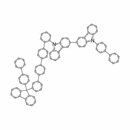 c1ccc(-c2ccc(-n3c4ccccc4c4cc(-c5ccc6c(c5)c5ccccc5n6-c5ccccc5-c5ccc(-c6ccc(-c7cccc(C8(c9ccc(-c%10ccccc%10)cc9)c9ccccc9-c9ccccc98)c7)cc6)cc5)ccc43)cc2)cc1